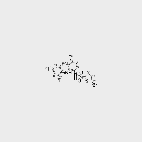 O=S(=O)(Nc1ccc(F)c(F)c1Nc1ccc(I)cc1F)c1ccc(Br)s1